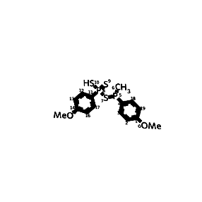 COc1ccc(P(C)SP(=S)(S)c2ccc(OC)cc2)cc1